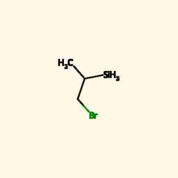 CC([SiH3])CBr